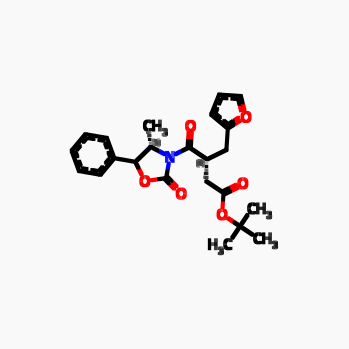 C[C@H]1C(c2ccccc2)OC(=O)N1C(=O)[C@@H](CC(=O)OC(C)(C)C)Cc1ccco1